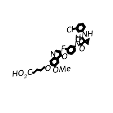 COc1cc2c(Oc3ccc(NC(=O)C4(C(=O)Nc5cccc(Cl)c5)CC4)cc3F)ccnc2cc1OCCCCC(=O)O